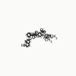 COCC(C)(C)CNc1ccc(S(=O)(=O)NC(=O)c2ccccc2Oc2cnc3[nH]ccc3c2)cc1[N+](=O)[O-]